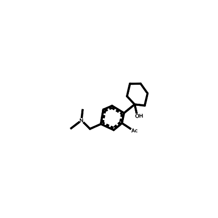 CC(=O)c1cc(CN(C)C)ccc1C1(O)CCCCC1